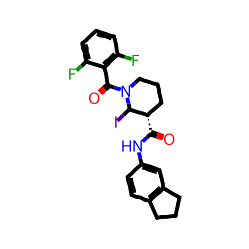 O=C(Nc1ccc2c(c1)CCC2)[C@H]1CCCN(C(=O)c2c(F)cccc2F)C1I